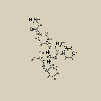 C[C@H]1COCCN1c1cc(C2=CCN(C(=O)CN)CC2)nc(-n2c(C(F)F)nc3ccccc32)n1